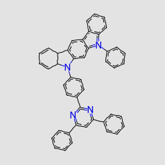 C1=CC2c3cc4c5ccccc5n(-c5ccccc5)c4cc3N(c3ccc(-c4nc(-c5ccccc5)cc(-c5ccccc5)n4)cc3)C2C=C1